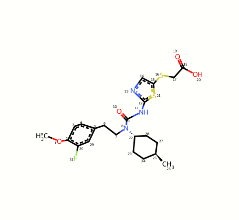 COc1ccc(CCN(C(=O)Nc2ncc(SCC(=O)O)s2)[C@H]2CC[C@H](C)CC2)cc1F